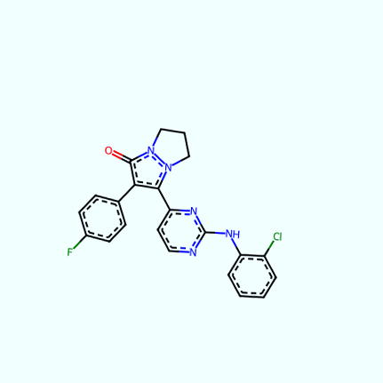 O=c1c(-c2ccc(F)cc2)c(-c2ccnc(Nc3ccccc3Cl)n2)n2n1CCC2